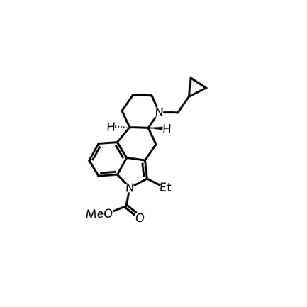 CCc1c2c3c(cccc3n1C(=O)OC)[C@H]1CCCN(CC3CC3)[C@@H]1C2